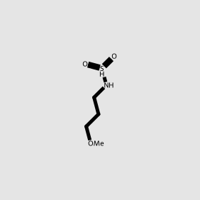 COCCCN[SH](=O)=O